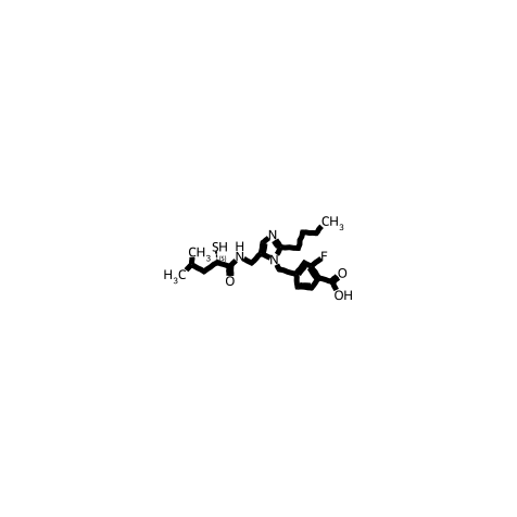 CCCCc1ncc(CNC(=O)[C@@H](S)CC(C)C)n1Cc1ccc(C(=O)O)c(F)c1